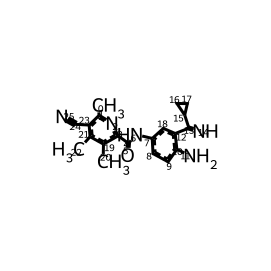 Cc1nc(C(=O)Nc2ccc(N)c(C(=N)C3CC3)c2)c(C)c(C)c1C#N